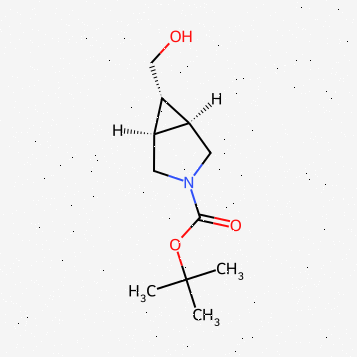 CC(C)(C)OC(=O)N1C[C@@H]2[C@@H](CO)[C@@H]2C1